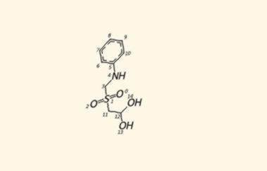 O=S(=O)(CNc1ccccc1)CC(O)O